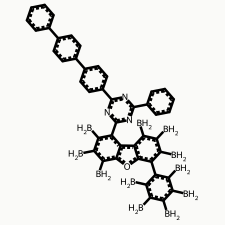 Bc1c(B)c(B)c(-c2c(B)c(B)c(B)c3c2oc2c(B)c(B)c(B)c(-c4nc(-c5ccccc5)nc(-c5ccc(-c6ccc(-c7ccccc7)cc6)cc5)n4)c23)c(B)c1B